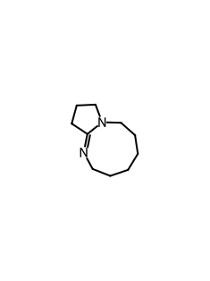 C1CCCN2CCC/C2=N/CC1